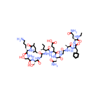 CCNC(=O)[C@H](CCC(N)=O)NC(=O)C(Cc1ccccc1)NC(=O)[C@H](C)NC(=O)CNC(=O)[C@H](CC(N)=O)NC(=O)C(CCC(=O)O)NC(=O)[C@@H](NC(=O)CNC(=O)[C@H](CO)NC(=O)C(CO)NC(=O)[C@H](CCCCN)NC(=O)C(C)CC(C)C)[C@@H](C)CC